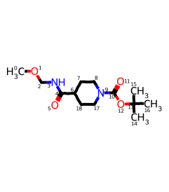 COCNC(=O)C1CCN(C(=O)OC(C)(C)C)CC1